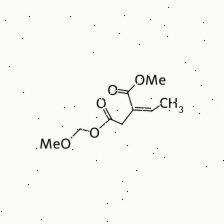 CC=C(CC(=O)OCOC)C(=O)OC